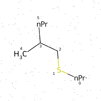 CC[CH]SCC(C)CCC